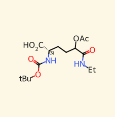 CCNC(=O)C(CC[C@H](NC(=O)OC(C)(C)C)C(=O)O)OC(C)=O